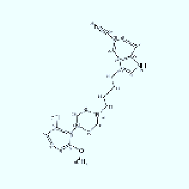 COc1cccc(Cl)c1N1CCN(CCCCc2c[nH]c3ccc(C#N)cc23)CC1